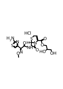 CON=C(C(=O)NC1C(=O)N2C(C(=O)OCC(O)CO)=CCS[C@@H]12)c1csc(N)n1.Cl